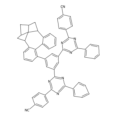 N#Cc1ccc(-c2nc(-c3ccccc3)nc(-c3cc(-c4nc(-c5ccccc5)nc(-c5ccc(C#N)cc5)n4)cc(-c4cccc5c4-c4ccccc4C4CC6CC7CC5C674)c3)n2)cc1